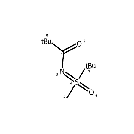 CC(C)(C)C(=O)N=S(C)(=O)C(C)(C)C